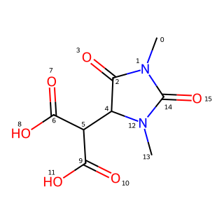 CN1C(=O)C(C(C(=O)O)C(=O)O)N(C)C1=O